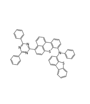 c1ccc(-c2nc(-c3ccccc3)nc(-c3ccc4c5c(cccc35)-c3cccc(N(c5ccccc5)c5cccc6c5sc5ccccc56)c3S4)n2)cc1